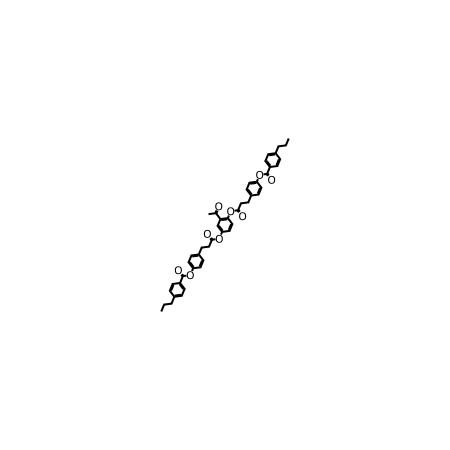 CCCc1ccc(C(=O)Oc2ccc(CCC(=O)Oc3ccc(OC(=O)CCc4ccc(OC(=O)c5ccc(CCC)cc5)cc4)c(C(C)=O)c3)cc2)cc1